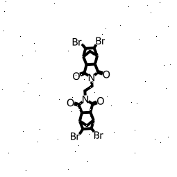 O=C1C2C3CC(C(Br)C3Br)C2C(=O)N1CCN1C(=O)C2C3CC(C(Br)C3Br)C2C1=O